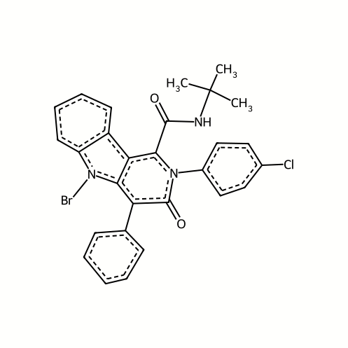 CC(C)(C)NC(=O)c1c2c3ccccc3n(Br)c2c(-c2ccccc2)c(=O)n1-c1ccc(Cl)cc1